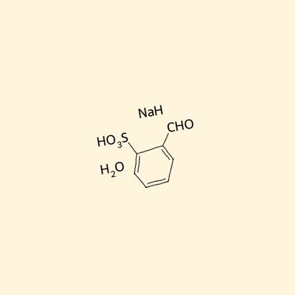 O.O=Cc1ccccc1S(=O)(=O)O.[NaH]